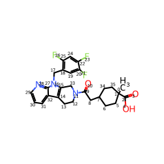 CC1(C(=O)O)CCC(CC(=O)N2CCc3c(n(Cc4cc(F)c(F)cc4F)c4ncccc34)C2)CC1